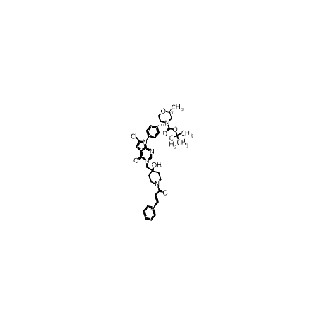 C[C@H]1CN(C(=O)OC(C)(C)C)[C@H](c2ccc(-n3c(Cl)cc4c(=O)n(CC5(O)CCN(C(=O)C=Cc6ccccc6)CC5)cnc43)cc2)CO1